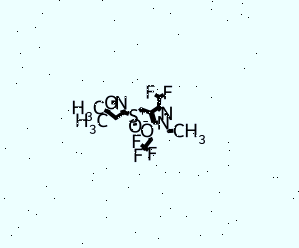 CCn1nc(C(F)F)c(C[S+]([O-])C2=NOC(C)(C)C2)c1OCC(F)(F)F